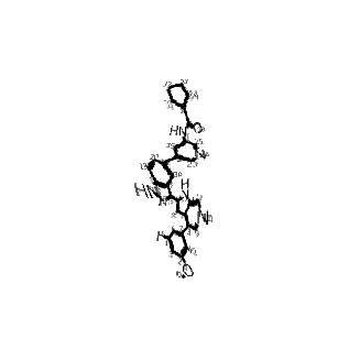 COc1cc(F)cc(-c2cncc3[nH]c(-c4n[nH]c5ccc(-c6cncc(NC(=O)C7CCCC7)c6)cc45)cc23)c1